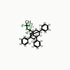 CC(F)(F)CC(F)(F)C12CC3(c4ccccc4)CC(c4ccccc4)(CC(c4ccccc4)(C3)C1)C2